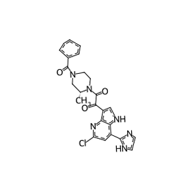 C[C@@H]1CN(C(=O)c2ccccc2)CCN1C(=O)C(=O)c1c[nH]c2c(-c3ncc[nH]3)cc(Cl)nc12